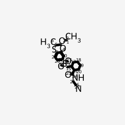 CCOC(=O)C(C)Sc1ccc(S(=O)(=O)CC2CCCCC2C(=O)NCC#N)cc1